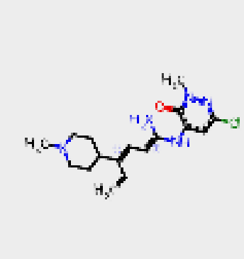 C=C/C(=C\C=C(/N)Nc1cc(Cl)nn(C)c1=O)C1CCN(C)CC1